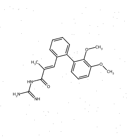 COc1cccc(-c2ccccc2/C=C(\C)C(=O)NC(=N)N)c1OC